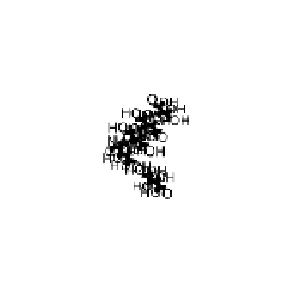 NC(=O)C(O)C(O)C(O)C(O)CO.O=C(CO)C(O)C(O)C(O)CO.O=CC(O)C(O)C(O)C(O)CO.O=CC(O)C(O)C(O)C(O)CO.O=CC(O)C(O)C(O)CO